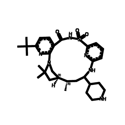 C[C@H]1CC(C2CCNCC2)Nc2cccc(n2)S(=O)(=O)NC(=O)c2ccc(C(C)(C)C)nc2N2C[C@@H]1CC2(C)C